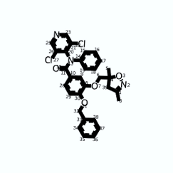 CC1=NOC(C)(COc2cc(C(=O)N(c3ccccc3)c3c(Cl)cncc3Cl)ccc2OCc2ccccc2)C1